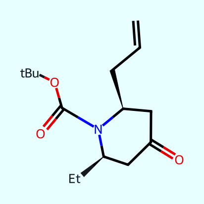 C=CC[C@H]1CC(=O)C[C@@H](CC)N1C(=O)OC(C)(C)C